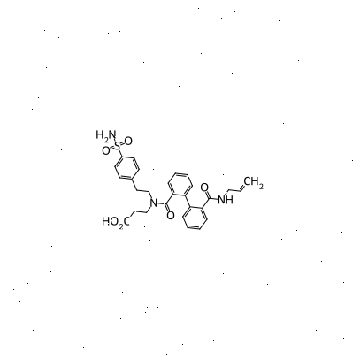 C=CCNC(=O)c1ccccc1-c1ccccc1C(=O)N(CCC(=O)O)CCc1ccc(S(N)(=O)=O)cc1